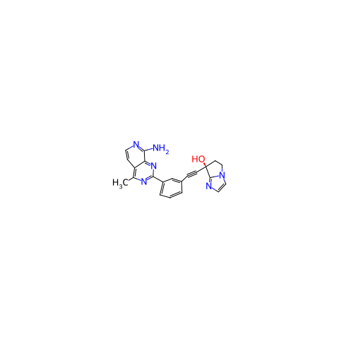 Cc1nc(-c2cccc(C#C[C@]3(O)CCn4ccnc43)c2)nc2c(N)nccc12